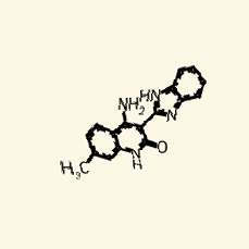 Cc1ccc2c(N)c(-c3nc4ccccc4[nH]3)c(=O)[nH]c2c1